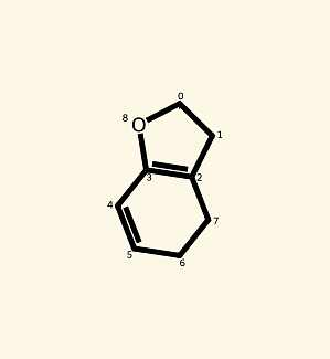 [CH]1CC2=C(C=CCC2)O1